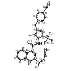 Cc1c(NC(=O)c2cc(/S(C)=N\C#N)nc3ccccc23)c(C(F)(F)F)nn1Cc1ccc(C#N)cc1